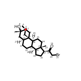 COC[C@]12CC[C@@](C)(O)C[C@@H]1CCC1[C@@H]3CC[C@H](C(=O)CBr)[C@@]3(C)CC[C@@H]12